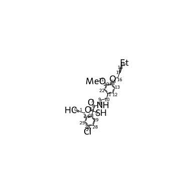 C#CCOC(S)(C(=O)NCCc1ccc(OCC#CCC)c(OC)c1)c1ccc(Cl)cc1